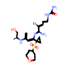 C=C(\C=C(/N=C(N)/C(=C/C=C/NC(N)=O)CC)C1(S(=O)(=O)C2CCOCC2)CC1)N[C@@H](C)CO